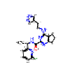 C[C@@H](NC(=O)c1nc2c(c(NCCc3cn[nH]c3)n1)CCC2)c1cccc(F)n1